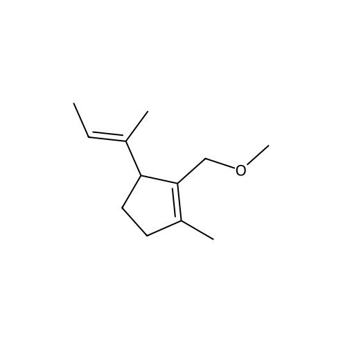 CC=C(C)C1CCC(C)=C1COC